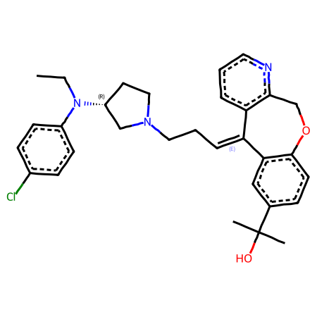 CCN(c1ccc(Cl)cc1)[C@@H]1CCN(CC/C=C2/c3cc(C(C)(C)O)ccc3OCc3ncccc32)C1